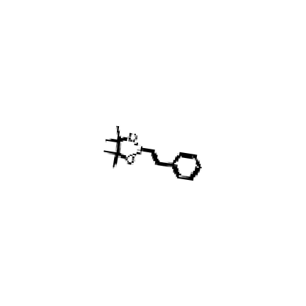 CC1(C)OB(C=Cc2ccccc2)OC1(C)C